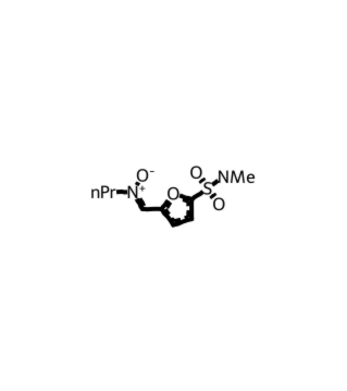 CCC[N+]([O-])=Cc1ccc(S(=O)(=O)NC)o1